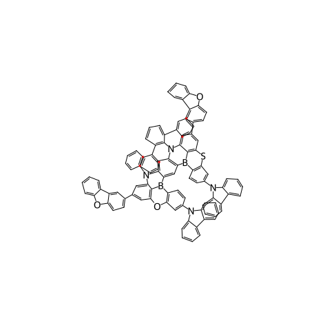 c1ccc(-c2cccc(-c3ccccc3)c2N2c3cc4c(cc3B3c5ccc(-n6c7ccccc7c7ccccc76)cc5Sc5cc(-c6ccc7oc8ccccc8c7c6)cc2c53)B2c3ccc(-n5c6ccccc6c6ccccc65)cc3Oc3cc(-c5ccc6oc7ccccc7c6c5)cc(c32)N4c2ccccc2)cc1